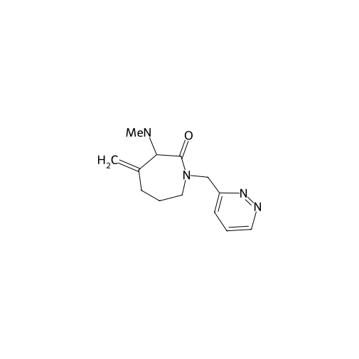 C=C1CCCN(Cc2cccnn2)C(=O)C1NC